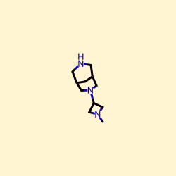 CN1CC(N2CC3CNCC(C3)C2)C1